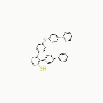 Sc1cccc(-c2ccc(Sc3ccc(-c4ccccc4)cc3)cc2)c1-c1ccc(-c2ccccc2)cc1